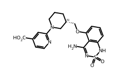 NC1=NS(=O)(=O)Nc2cccc(OC[C@H]3CCCN(c4cc(C(=O)O)ccn4)C3)c21